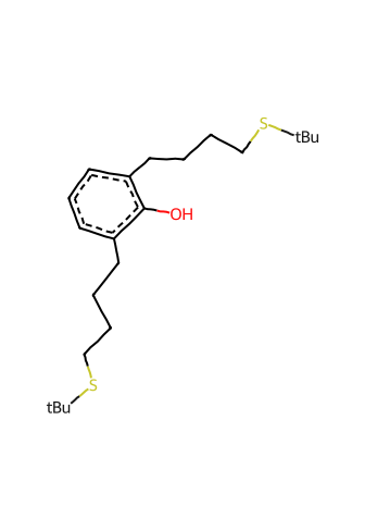 CC(C)(C)SCCCCc1cccc(CCCCSC(C)(C)C)c1O